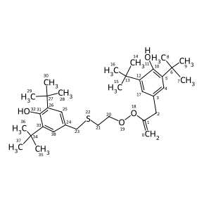 C=C(Cc1cc(C(C)(C)C)c(O)c(C(C)(C)C)c1)OOCCSCc1cc(C(C)(C)C)c(O)c(C(C)(C)C)c1